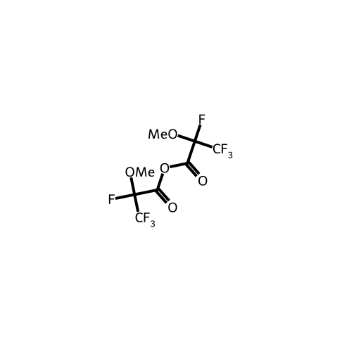 COC(F)(C(=O)OC(=O)C(F)(OC)C(F)(F)F)C(F)(F)F